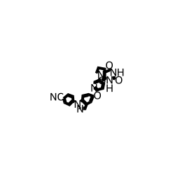 N#Cc1ccc(-n2ncc3cc(Oc4ccc(N5CCCC56C(=O)NC(=O)NC6=O)cn4)ccc32)cc1